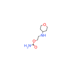 NC(=O)OCCNC1CCOCC1